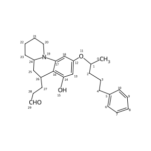 CC(CCCc1ccccc1)Oc1cc(O)c2c(c1)N1CCCCC1CC2CCC=O